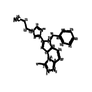 Cc1nnc2n1C1C=C(c3cn(CCC#N)cn3)N(Cc3ccccc3)C1C=C2